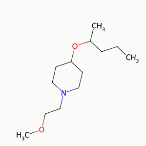 CCCC(C)OC1CCN(CCOC)CC1